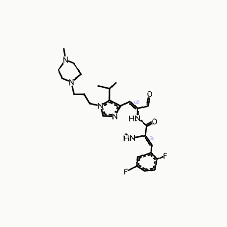 CN/C(=C\c1cc(F)ccc1F)C(=O)N/C(C=O)=C\c1ncn(CCCN2CCN(C)CC2)c1C(C)C